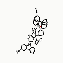 N#Cc1ccc2c(c1)c1ccccc1n2-c1cnc2c(c1)C1(c3ccccc3Oc3ccc(-n4c5ccccc5c5ccccc54)cc31)c1cc(-n3c4ccccc4c4cc(C#N)ccc43)cnc1-2